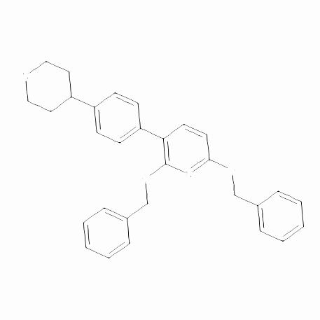 c1ccc(COc2ccc(-c3ccc(C4CCNCC4)cc3)c(OCc3ccccc3)n2)cc1